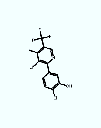 Cc1c(C(F)(F)F)cnc(-c2ccc(Cl)c(O)c2)c1Cl